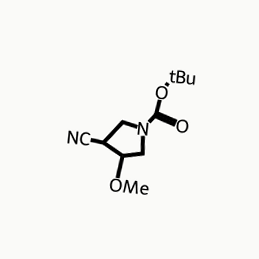 COC1CN(C(=O)OC(C)(C)C)CC1C#N